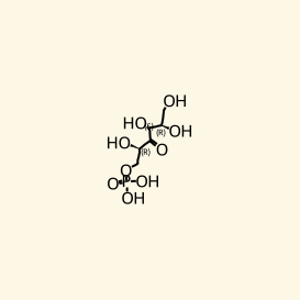 O=C([C@H](O)COP(=O)(O)O)[C@@H](O)[C@H](O)CO